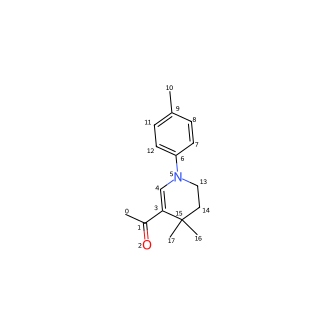 CC(=O)C1=CN(c2ccc(C)cc2)CCC1(C)C